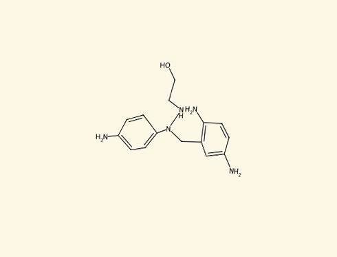 Nc1ccc(N(Cc2cc(N)ccc2N)NCCO)cc1